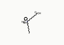 CCCCCCCC/C=C\CCCCCCCC(=O)O.N.Oc1ccccc1